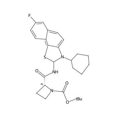 CC(C)(C)OC(=O)N1CC[C@@H]1C(=O)NC1Sc2c(ccc3cc(F)ccc23)N1C1CCCCC1